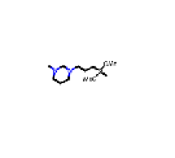 CO[Si](C)(CCCN1CCCN(C)C1)OC